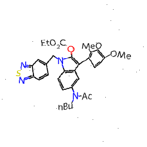 CCCCN(C(C)=O)c1ccc2c(c1)c(-c1ccc(OC)cc1OC)c(OC(=O)OCC)n2Cc1ccc2nsnc2c1